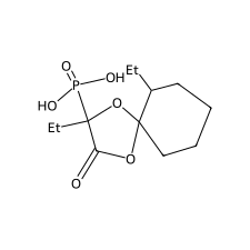 CCC1CCCCC12OC(=O)C(CC)(P(=O)(O)O)O2